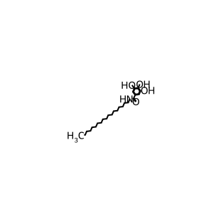 CCCCCCCCCCCCCCCCCCNC(=O)c1cc(O)c(O)c(O)c1